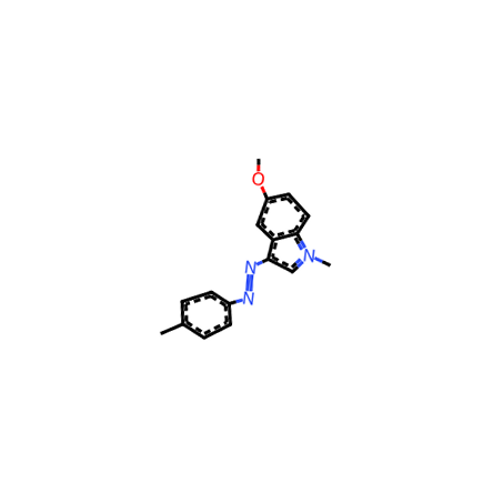 COc1ccc2c(c1)c(/N=N/c1ccc(C)cc1)cn2C